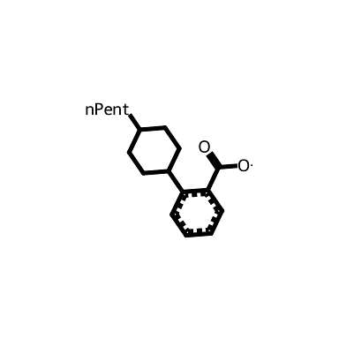 CCCCCC1CCC(c2ccccc2C([O])=O)CC1